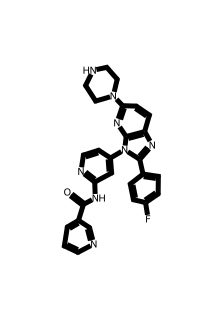 O=C(Nc1cc(-n2c(-c3ccc(F)cc3)nc3ccc(N4CCNCC4)nc32)ccn1)c1cccnc1